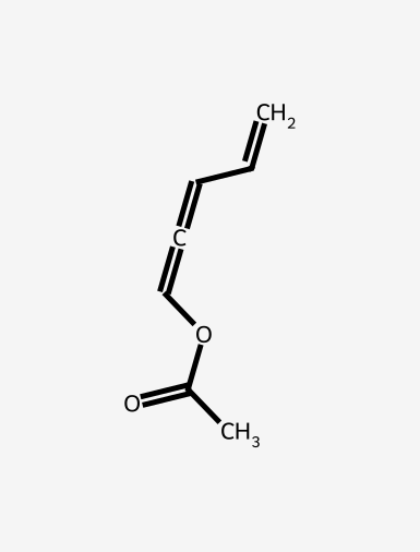 C=CC=C=COC(C)=O